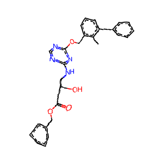 Cc1c(COc2ncnc(NCC(O)CC(=O)OCc3ccccc3)n2)cccc1-c1ccccc1